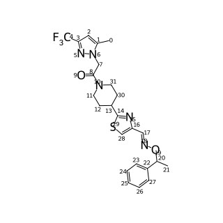 Cc1cc(C(F)(F)F)nn1CC(=O)N1CCC(c2nc(/C=N/OC(C)c3ccccc3)cs2)CC1